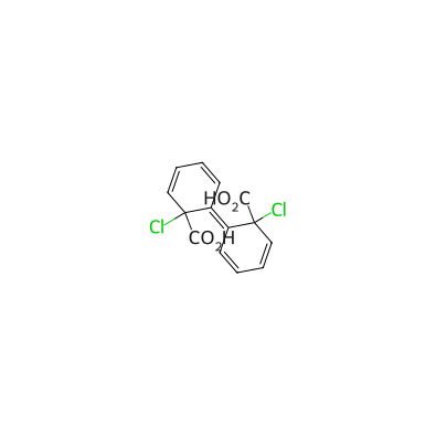 O=C(O)C1(Cl)C=CC=C/C1=C1/C=CC=CC1(Cl)C(=O)O